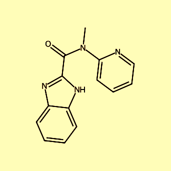 CN(C(=O)c1nc2ccccc2[nH]1)c1ccccn1